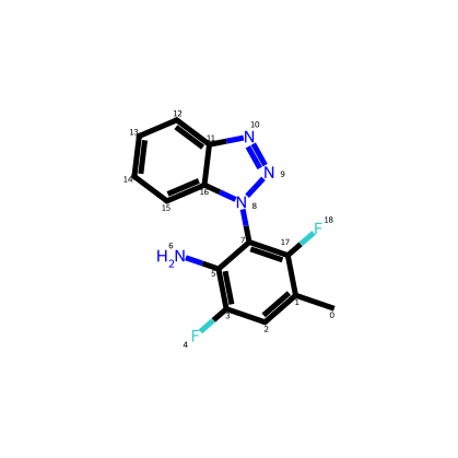 Cc1cc(F)c(N)c(-n2nnc3ccccc32)c1F